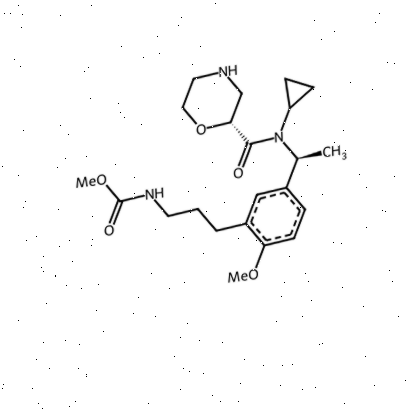 COC(=O)NCCCc1cc([C@H](C)N(C(=O)[C@H]2CNCCO2)C2CC2)ccc1OC